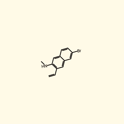 C=Cc1cc2cc(Br)ccc2cc1NC